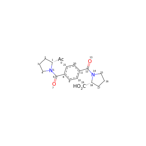 CC(=O)[C@H]1CCCN1C(=O)c1ccc(C(=O)N2CCC[C@@H]2C(=O)O)cc1